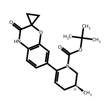 C[C@H]1CC=C(c2ccc3c(c2)OC2(CC2)C(=O)N3)N(C(=O)OC(C)(C)C)C1